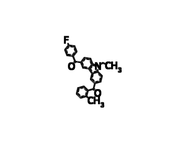 CCn1c2ccc(C(=O)c3ccc(F)cc3)cc2c2cc(C(=O)c3ccccc3C)ccc21